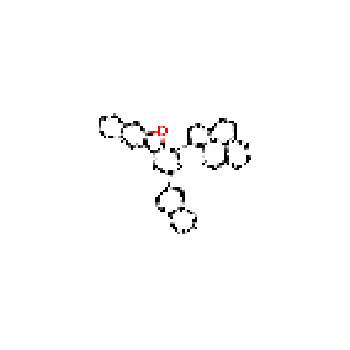 c1ccc2cc(-c3cc(-c4ccc5ccc6cccc7ccc4c5c67)c4oc5cc6ccccc6cc5c4c3)ccc2c1